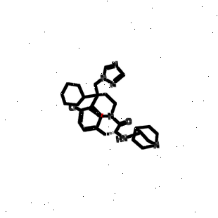 O=C([C@@H](Cc1ccc(Cl)cc1)NC1CN2CCC1CC2)N1CCC(Cn2cncn2)(C2CCCCC2)CC1